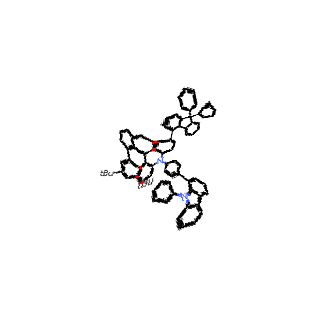 CC(C)(C)c1cc(-c2cccc3c2=C(c2ccccc2N(c2ccc(-c4cccc5c4-c4ccccc4C5(c4ccccc4)c4ccccc4)cc2)c2ccc(-c4cccc5c6ccccc6n(-c6ccccc6)c45)cc2)CCC=3)cc(C(C)(C)C)c1